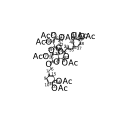 CC(=O)OC[C@H]1O[C@@H](OCCc2ccc(OC(C)=O)c(OC(C)=O)c2)[C@H](OC(C)=O)[C@@H](O[C@@H]2O[C@@H](C)[C@H](OC(C)=O)[C@@H](OC(C)=O)[C@H]2OC(C)=O)[C@@H]1OC(=O)/C=C/c1ccc(OC(C)=O)c(OC(C)=O)c1